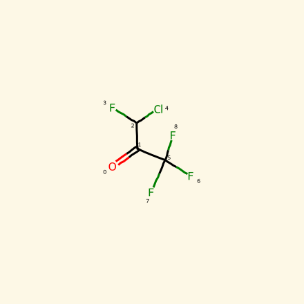 O=C(C(F)Cl)C(F)(F)F